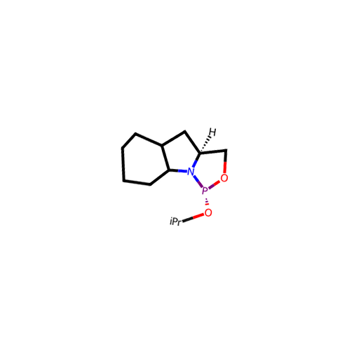 CC(C)O[P@@]1OC[C@@H]2CC3CCCCC3N21